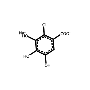 O=C([O-])c1cc(O)c(O)c(O)c1Cl.[Na+]